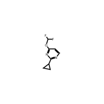 FC(F)Oc1c[c]nc(C2CC2)n1